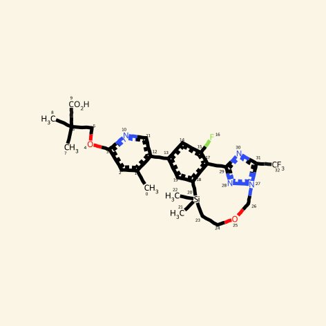 Cc1cc(OCC(C)(C)C(=O)O)ncc1-c1cc(F)c2c(c1)[Si](C)(C)CCOCn1nc-2nc1C(F)(F)F